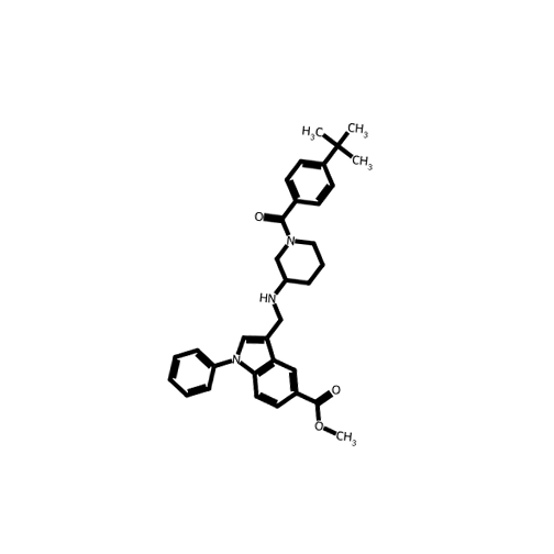 COC(=O)c1ccc2c(c1)c(CNC1CCCN(C(=O)c3ccc(C(C)(C)C)cc3)C1)cn2-c1ccccc1